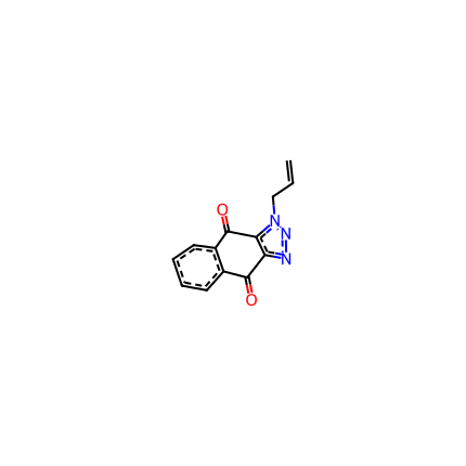 C=CCn1nnc2c1C(=O)c1ccccc1C2=O